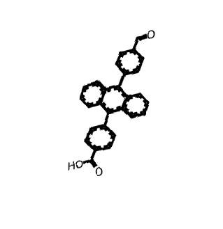 O=Cc1ccc(-c2c3ccccc3c(-c3ccc(C(=O)O)cc3)c3ccccc23)cc1